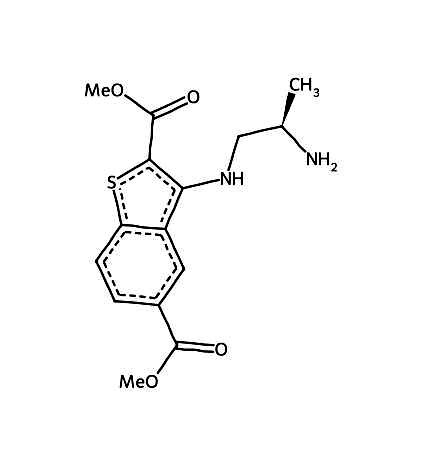 COC(=O)c1ccc2sc(C(=O)OC)c(NC[C@@H](C)N)c2c1